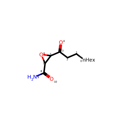 CCCCCCCCC(=O)C1OC1C(N)=O